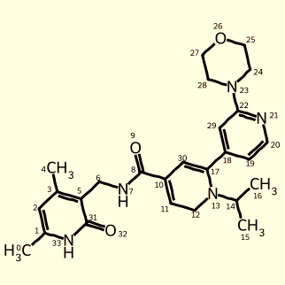 Cc1cc(C)c(CNC(=O)C2=CCN(C(C)C)C(c3ccnc(N4CCOCC4)c3)=C2)c(=O)[nH]1